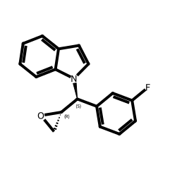 Fc1cccc([C@@H]([C@@H]2CO2)n2ccc3ccccc32)c1